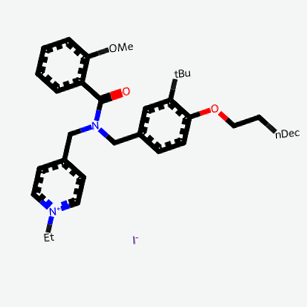 CCCCCCCCCCCCOc1ccc(CN(Cc2cc[n+](CC)cc2)C(=O)c2ccccc2OC)cc1C(C)(C)C.[I-]